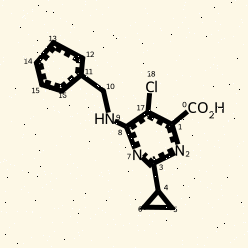 O=C(O)c1nc(C2CC2)nc(NCc2ccccc2)c1Cl